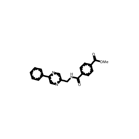 COC(=O)c1ccc(C(=O)NCc2cnc(-c3ccccc3)cn2)cc1